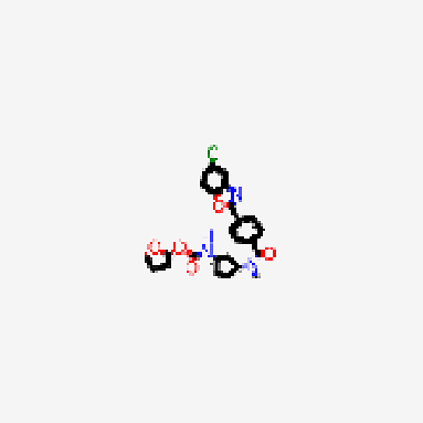 CN(C(=O)c1ccc(-c2nc3cc(Cl)ccc3o2)cc1)[C@@H]1CC[C@H](NC(=O)O[C@H]2CCCO2)C1